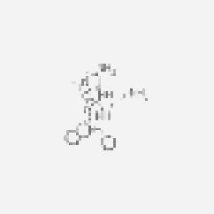 NCCCC[C@H](NC(=O)[C@@H]1Cc2ccccc2CN1Cc1ccccc1)C(=O)N[C@@H](CC(N)=O)C(N)=O